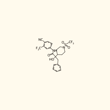 N#Cc1ccc(NC(=O)C(O)(Cc2ccccc2)C2CCN(S(=O)(=O)C(F)(F)F)CC2)cc1C(F)(F)F